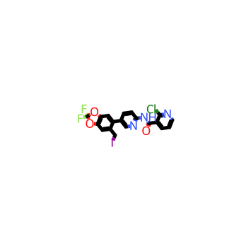 O=C(Nc1ccc(-c2cc3c(cc2CI)OC(F)(F)O3)cn1)c1cccnc1Cl